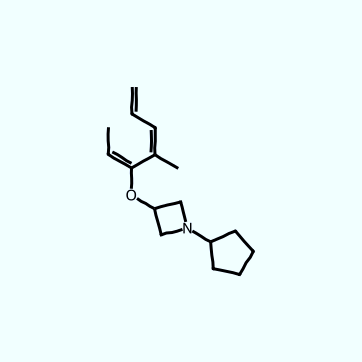 C=C/C=C(C)\C(=C/C)OC1CN(C2CCCC2)C1